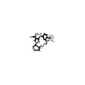 CC1(C)OB(O)c2cc(Nc3nn(C4COCCC4C#N)cc3C(N)=O)ccc21